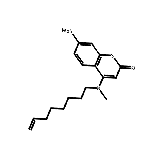 C=CCCCCCCN(C)c1cc(=O)sc2cc(SC)ccc12